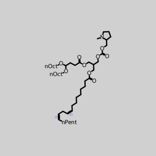 CCCCC/C=C\C/C=C\CCCCCCCC(=O)OCC(COC(=O)CCC(OCCCCCCCC)OCCCCCCCC)COC(=O)OCC1CCCN1C